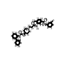 Cc1cccc(NC(=O)c2ccc(C)c(N(C)C(=O)CCN3CCC(OC(=O)Nc4ccccc4-c4ccccc4)CC3)c2)c1